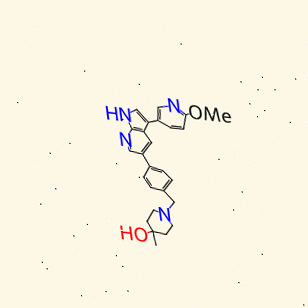 COc1ccc(-c2c[nH]c3ncc(-c4ccc(CN5CCC(C)(O)CC5)cc4)cc23)cn1